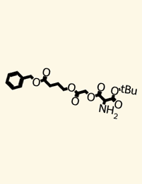 CC(C)(C)OC(=O)C(N)C(=O)OCC(=O)OCCCC(=O)OCc1ccccc1